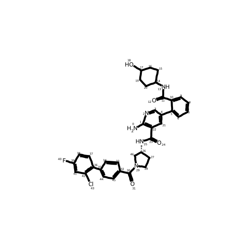 Nc1ncc(-c2ccccc2C(=O)NC2CCC(O)CC2)cc1C(=O)N[C@@H]1CCN(C(=O)c2ccc(-c3ccc(F)cc3Cl)cc2)C1